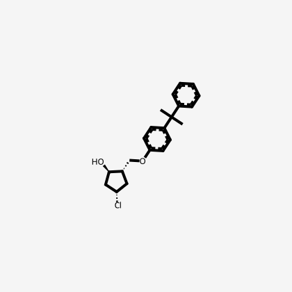 CC(C)(c1ccccc1)c1ccc(OC[C@@H]2C[C@H](Cl)C[C@H]2O)cc1